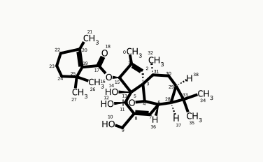 CC1=C[C@]23C(O)[C@@H](C=C(CO)[C@@H](O)[C@]2(O)[C@H]1OC(=O)C1=C(C)CCCC1(C)C)[C@H]1[C@@H](C[C@H]3C)C1(C)C